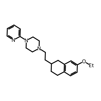 CCOc1ccc2c(c1)CC(CCN1CCN(c3ccccn3)CC1)CC2